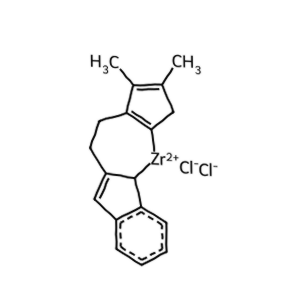 CC1=C(C)C2=[C](C1)[Zr+2][CH]1C(=Cc3ccccc31)CC2.[Cl-].[Cl-]